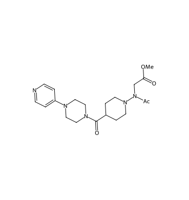 COC(=O)CN(C(C)=O)N1CCC(C(=O)N2CCN(c3ccncc3)CC2)CC1